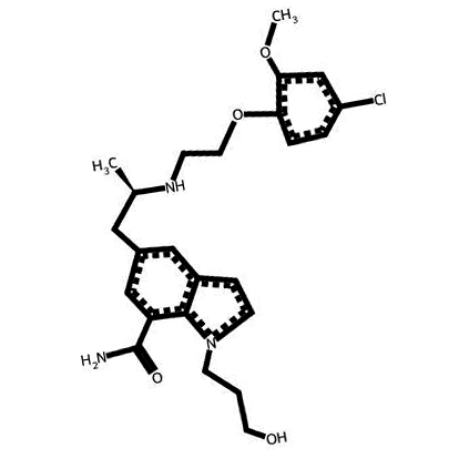 COc1cc(Cl)ccc1OCCN[C@H](C)Cc1cc(C(N)=O)c2c(ccn2CCCO)c1